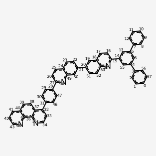 c1ccc(-c2cc(-c3ccccc3)cc(-c3ccc4cc(-c5ccc6ccc(-c7ccc(-c8ccnc9c8ccc8cccnc89)cc7)nc6c5)ccc4n3)c2)cc1